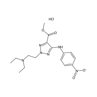 CCN(CC)CCn1nc(Nc2ccc([N+](=O)[O-])cc2)c(C(=O)OC)n1.Cl